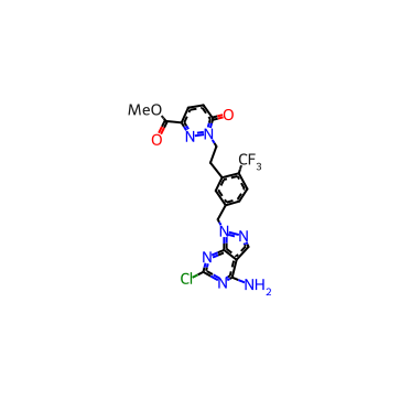 COC(=O)c1ccc(=O)n(CCc2cc(Cn3ncc4c(N)nc(Cl)nc43)ccc2C(F)(F)F)n1